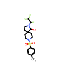 O=C1N(C(F)C(F)F)CCC12CCN(S(=O)(=O)c1ccc(C(F)(F)F)cc1)CC2